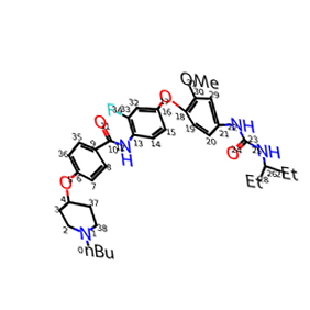 CCCCN1CCC(Oc2ccc(C(=O)Nc3ccc(Oc4ccc(NC(=O)NC(CC)CC)cc4OC)cc3F)cc2)CC1